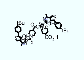 C/C(=N/NC(=S)N1CCC(C(=O)O)CC1)c1csc(-c2ccc(C(C)(C)C)cc2)c1O.COC(=O)C1CCN(C(=S)N/N=C(/C)c2csc(-c3ccc(C(C)(C)C)cc3)c2O)CC1